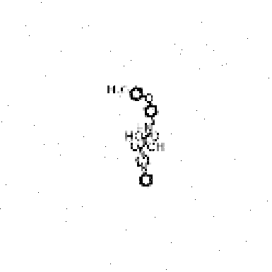 Cc1ccc(Oc2ccc(CNC(=O)[C@H](O)[C@@H](O)C(=O)N3CCN(c4ccccc4)CC3)cc2)cc1